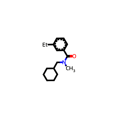 CCc1cccc(C(=O)N(C)CC2CCCCC2)c1